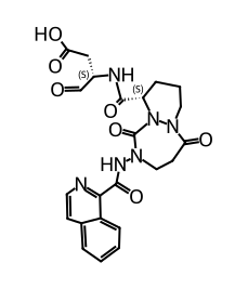 O=C[C@H](CC(=O)O)NC(=O)[C@@H]1CCCN2C(=O)CCN(NC(=O)c3nccc4ccccc34)C(=O)N12